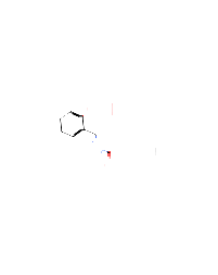 CC(C)(C)OC(=O)NCC1=CCCC=C1O